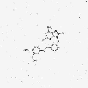 COc1cnc(OCc2cccc(Cn3c(Br)nc4c(N)nc(F)nc43)c2)cc1CO